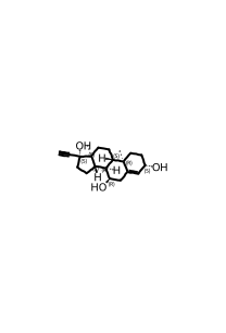 C#C[C@]1(O)CC[C@H]2[C@@H]3[C@H](O)CC4=C[C@@H](O)CC[C@]4(C)[C@H]3CC[C@@]21C